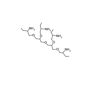 CCC(N)COCC(COCC(COCC(N)CC)OCC(N)CC)OCC(N)CC